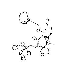 CCOP(=O)(CCN1C(=O)c2c(OCc3ccccc3)c(=O)ccn2N(C)C12CCOC2)OCC